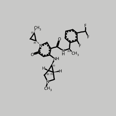 C[C@@H](NC(=O)c1cn([C@@H]2C[C@@H]2C)c(=O)cc1N[C@H]1[C@@H]2CN(C)C[C@@H]21)c1cccc(C(F)F)c1F